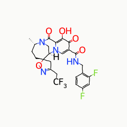 C[C@H]1CC[C@]2(CC(CC(F)(F)F)=NO2)[C@H]2CN1C(=O)c1c(O)c(=O)c(C(=O)NCc3ccc(F)cc3F)cn12